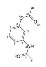 CC(=O)Nc1cccc(SC(C)=O)c1